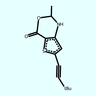 CC1Nc2cc(C#CC(C)(C)C)sc2C(=O)O1